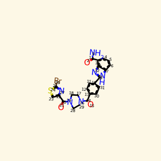 NC(=O)c1cccc2[nH]c(-c3ccc(C(=O)N4CCN(C(=O)c5csc(Br)n5)CC4)cc3)nc12